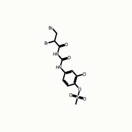 CS(=O)(=O)Oc1ccc(NC(=O)NC(=O)C(Br)CBr)cc1Cl